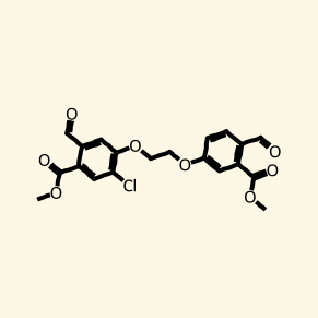 COC(=O)c1cc(OCCOc2cc(C=O)c(C(=O)OC)cc2Cl)ccc1C=O